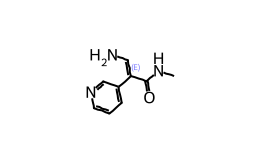 CNC(=O)/C(=C/N)c1cccnc1